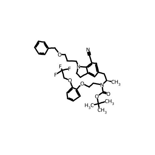 C[C@H](Cc1cc(C#N)c2c(c1)CCN2CCCOCc1ccccc1)N(CCOc1ccccc1OCC(F)(F)F)C(=O)OC(C)(C)C